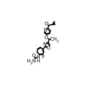 CC(Oc1ccc(C(=O)C2CC2)nc1)c1coc(C2=CC(F)=C(NC(N)=O)CC=C2)n1